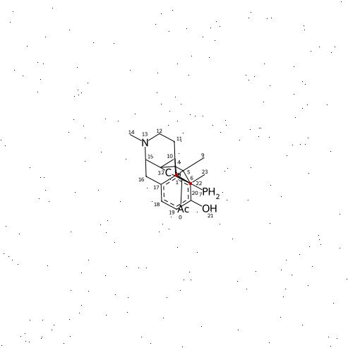 CC(=O)C1CC23CCC1(P)C(C)C21CCN(C)C3Cc2ccc(O)c(C)c21